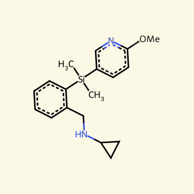 COc1ccc([Si](C)(C)c2ccccc2CNC2CC2)cn1